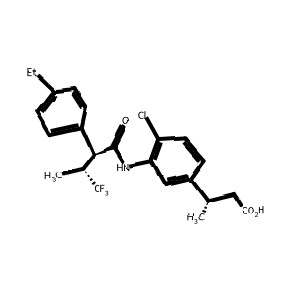 CCc1ccc([C@@H](C(=O)Nc2cc([C@@H](C)CC(=O)O)ccc2Cl)[C@@H](C)C(F)(F)F)cc1